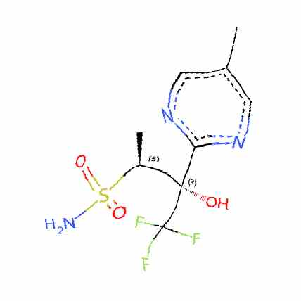 Cc1cnc([C@](O)([C@H](C)S(N)(=O)=O)C(F)(F)F)nc1